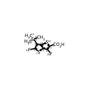 C[Si](C)(C)c1c(F)sc2c(F)c(C(=O)O)sc12